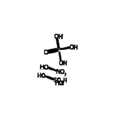 Cl.O=P(O)(O)O.O=S(=O)(O)O.O=[N+]([O-])O